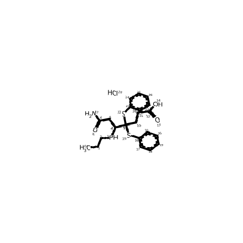 CCCPC(CC(N)=O)C(CCC(=O)O)(Sc1ccccc1)Sc1ccccc1.Cl